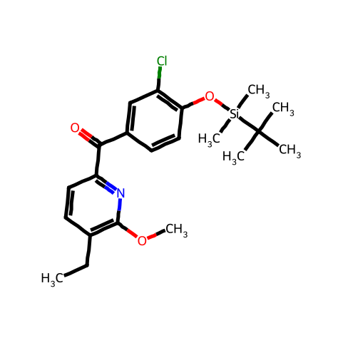 CCc1ccc(C(=O)c2ccc(O[Si](C)(C)C(C)(C)C)c(Cl)c2)nc1OC